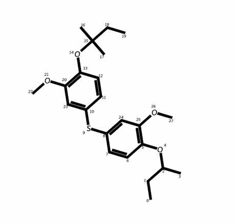 CCC(C)Oc1ccc(Sc2ccc(OC(C)(C)CC)c(OC)c2)cc1OC